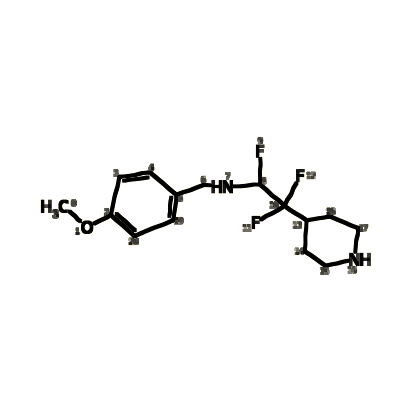 COc1ccc(CNC(F)C(F)(F)C2CCNCC2)cc1